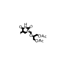 CC(=O)OCC(COC(C)=O)OCn1cc(I)c(=O)[nH]c1=O